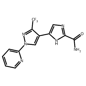 NC(=O)c1ncc(-c2cn(-c3ccccn3)nc2C(F)(F)F)[nH]1